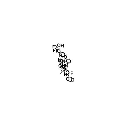 COc1cccc(OC)c1-n1c(NS(=O)(=O)[C@@H](C)[C@H](C)c2ncc(F)c([C@H]3COCCO3)n2)nnc1-c1cccc(OCC(C)(O)C(F)(F)F)n1